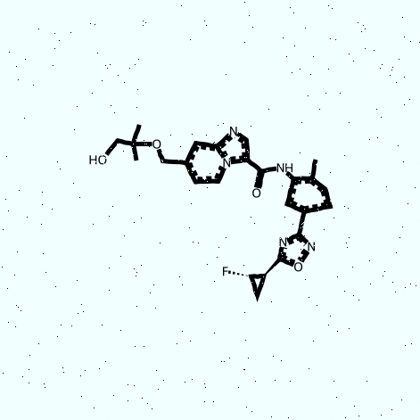 Cc1ccc(-c2noc([C@H]3C[C@@H]3F)n2)cc1NC(=O)c1cnc2cc(COC(C)(C)CO)ccn12